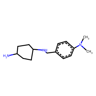 CN(C)c1ccc(CNC2CCC(N)CC2)cc1